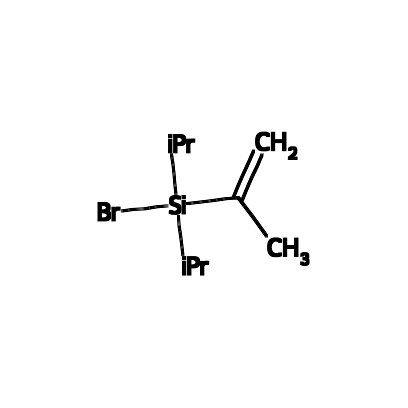 C=C(C)[Si](Br)(C(C)C)C(C)C